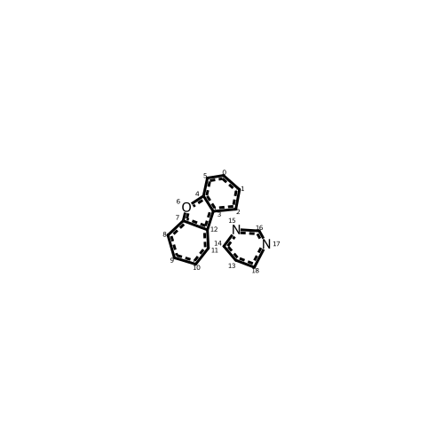 c1ccc2c(c1)oc1ccccc12.c1cncnc1